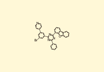 Brc1cc(-c2ccncc2)cc(-c2nc(-c3ccccc3)nc(-c3cccc4c3oc3ccccc34)n2)c1